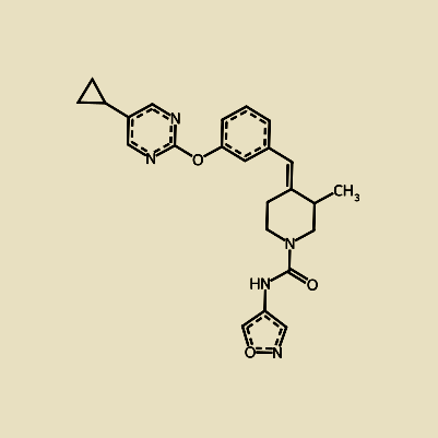 CC1CN(C(=O)Nc2cnoc2)CCC1=Cc1cccc(Oc2ncc(C3CC3)cn2)c1